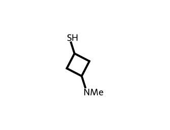 CNC1CC(S)C1